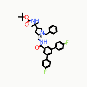 CC(C)(C)OC(=O)NC(C)(C)C1C[C@@H](CNC(=O)c2cc(-c3ccc(F)cc3)cc(-c3ccc(F)cc3)c2)N(Cc2ccccc2)C1